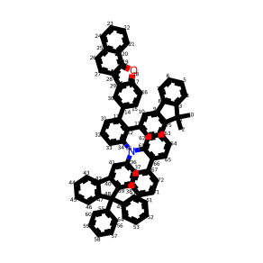 CC1(C)c2ccccc2-c2cc(-c3c(-c4ccc5oc6c7ccccc7ccc6c5c4)cccc3N(c3ccc4c(c3)-c3ccccc3C4(c3ccccc3)c3ccccc3)c3ccccc3-c3ccccc3)ccc21